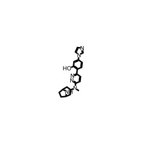 CN(c1ccc(-c2ccc(-n3ccnc3)cc2O)nn1)C1CC2CCC(C1)N2